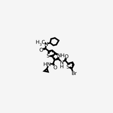 CN(C(=O)c1cc2[nH]c(NC(=O)c3ccc(Br)s3)c(C(=O)NC3CC3)c2s1)C1CCCCC1